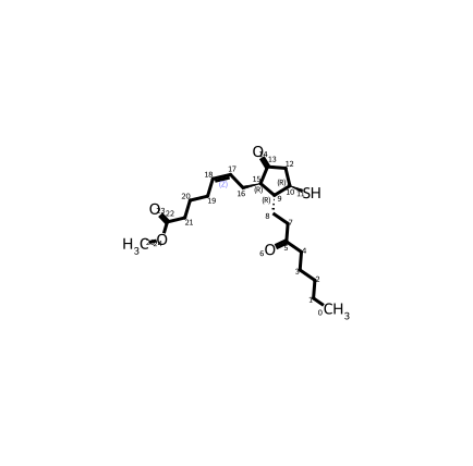 CCCCCC(=O)CC[C@H]1[C@H](S)CC(=O)[C@@H]1C/C=C\CCCC(=O)OC